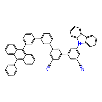 N#Cc1cc(-c2cccc(-c3cccc(-c4c5ccccc5c(-c5ccccc5)c5ccccc45)c3)c2)cc(-c2cc(C#N)cc(-n3c4ccccc4c4ccccc43)c2)c1